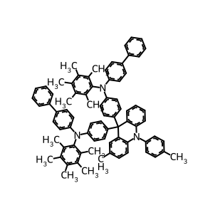 Cc1ccc(N2c3ccccc3C(c3ccc(N(c4ccc(-c5ccccc5)cc4)c4c(C)c(C)c(C)c(C)c4C)cc3)(c3ccc(N(c4ccc(-c5ccccc5)cc4)c4c(C)c(C)c(C)c(C)c4C)cc3)c3cc(C)ccc32)cc1